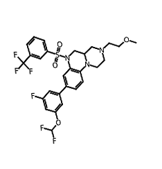 COCCN1CCN2c3ccc(-c4cc(F)cc(OC(F)F)c4)cc3N(S(=O)(=O)c3cccc(C(F)(F)F)c3)CC2C1